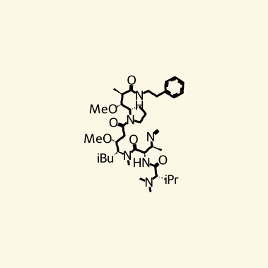 C=N[C@@H](C)[C@H](NC(=O)[C@H](C(C)C)N(C)C)C(=O)N(C)[C@@H]([C@@H](C)CC)[C@@H](CC(=O)N1CCC[C@H]1[C@H](OC)[C@@H](C)C(=O)NCCc1ccccc1)OC